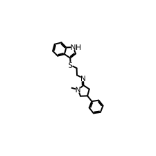 CN1CC(c2ccccc2)C/C1=N/CCSc1c[nH]c2ccccc12